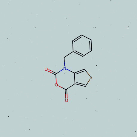 O=c1oc(=O)n(Cc2ccccc2)c2cscc12